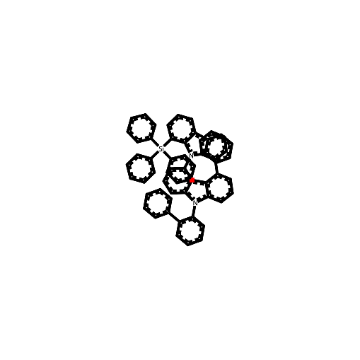 c1ccc(-c2ccccc2-n2c3cccc(-c4ccccc4)c3c3c(-n4c5ccccc5c5cccc([Si](c6ccccc6)(c6ccccc6)c6ccccc6)c54)cccc32)cc1